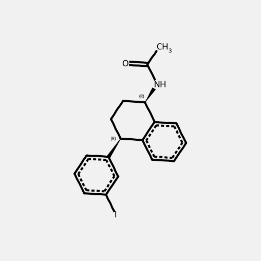 CC(=O)N[C@@H]1CC[C@H](c2cccc(I)c2)c2ccccc21